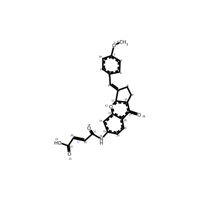 COc1ccc(C=C2CCc3c2oc2cc(NC(=O)/C=C/C(=O)O)ccc2c3=O)cc1